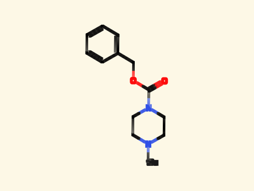 CC(C)(C)N1CCN(C(=O)OCc2ccccc2)CC1